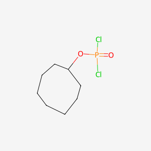 O=P(Cl)(Cl)OC1CCCCCCC1